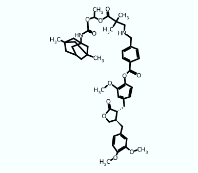 COc1ccc(C[C@H]2COC(=O)[C@@H]2Cc2ccc(OC(=O)c3ccc(CNCC(C)(C)C(=O)OC(C)OC(=O)NC45CC6CC(C)(CC(C)(C6)C4)C5)cc3)c(OC)c2)cc1OC